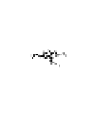 CCCC1=[C]C2=C(CCC)C(CCC)=CC2S1